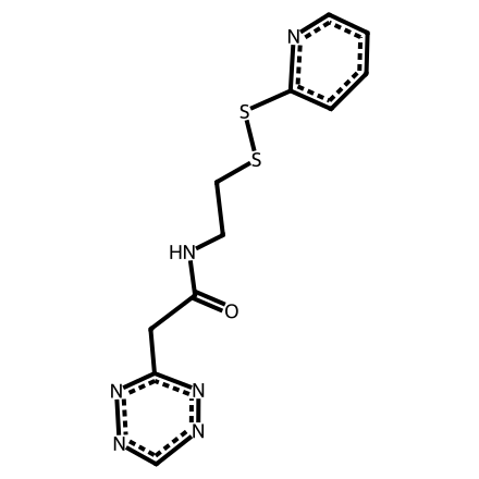 O=C(Cc1nncnn1)NCCSSc1ccccn1